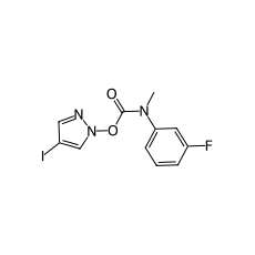 CN(C(=O)On1cc(I)cn1)c1cccc(F)c1